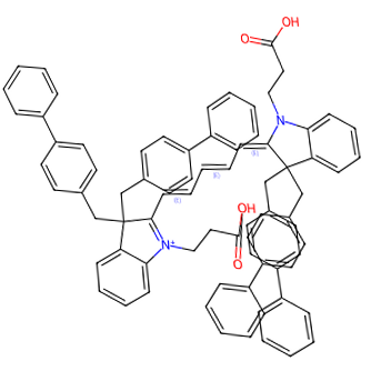 O=C(O)CCN1/C(=C/C=C/C=C/C2=[N+](CCC(=O)O)c3ccccc3C2(Cc2ccc(-c3ccccc3)cc2)Cc2ccc(-c3ccccc3)cc2)C(Cc2ccc(-c3ccccc3)cc2)(Cc2ccc(-c3ccccc3)cc2)c2ccccc21